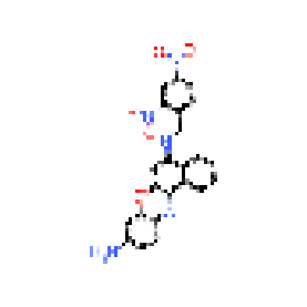 Nc1ccc2nc3c4ccccc4/c(=N\Cc4ccc([N+](=O)[O-])cc4[N+](=O)[O-])cc-3oc2c1